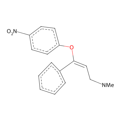 CNCC=C(Oc1ccc([N+](=O)[O-])cc1)c1ccccc1